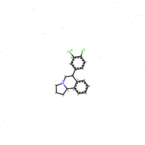 Clc1ccc(C2CN3CCCC3c3ccccc32)cc1Cl